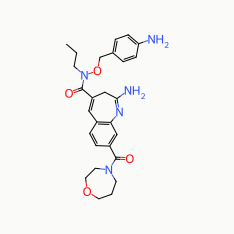 CCCN(OCc1ccc(N)cc1)C(=O)C1=Cc2ccc(C(=O)N3CCCOCC3)cc2N=C(N)C1